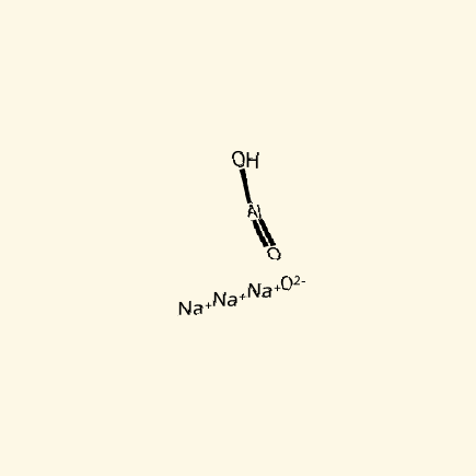 [Na+].[Na+].[Na+].[O-2].[O]=[Al][OH]